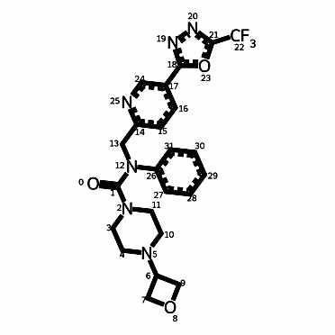 O=C(N1CCN(C2COC2)CC1)N(Cc1ccc(-c2nnc(C(F)(F)F)o2)cn1)c1ccccc1